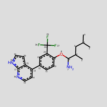 CC(C)CC(C)C(N)Oc1ccc(-c2ccnc3[nH]ccc23)cc1C(F)(F)F